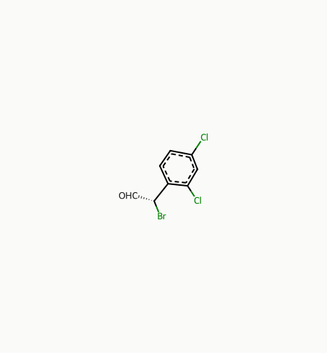 O=C[C@@H](Br)c1ccc(Cl)cc1Cl